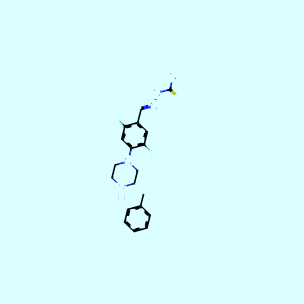 NC(=S)N/N=C/c1cc(F)c(N2CCN[C@@H](Cc3ccccc3)C2)cc1F